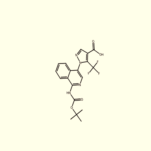 CC(C)(C)OC(=O)Nc1ncc(-n2ncc(C(=O)O)c2C(F)(F)F)c2ccccc12